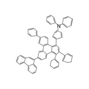 C1=CCCC(c2c(C3=CCCC=C3)cc(-c3ccc(N(c4ccccc4)c4ccccc4)cc3)c3c4ccc(-c5ccccc5)cc4c4cc(-c5cc6ccccc6c6ccccc56)ccc4c23)=C1